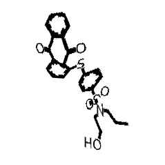 CCCN(CCO)S(=O)(=O)c1ccc(Sc2cccc3c2C(=O)c2ccccc2C3=O)cc1